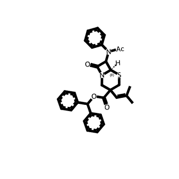 CC(=O)N(c1ccccc1)C1C(=O)N2CC(C=C(C)C)(C(=O)OC(c3ccccc3)c3ccccc3)CS[C@H]12